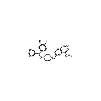 COC(=O)c1nc(CN2CCC(OC(c3ccccc3)c3ccc(F)c(F)c3)CC2)ccc1OC